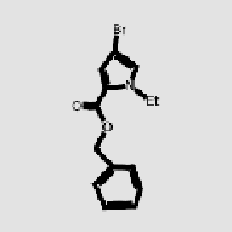 CCn1cc(Br)cc1C(=O)OCc1ccccc1